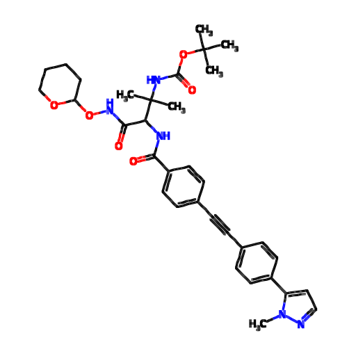 Cn1nccc1-c1ccc(C#Cc2ccc(C(=O)NC(C(=O)NOC3CCCCO3)C(C)(C)NC(=O)OC(C)(C)C)cc2)cc1